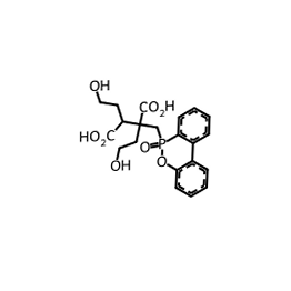 O=C(O)C(CCO)C(CCO)(CP1(=O)Oc2ccccc2-c2ccccc21)C(=O)O